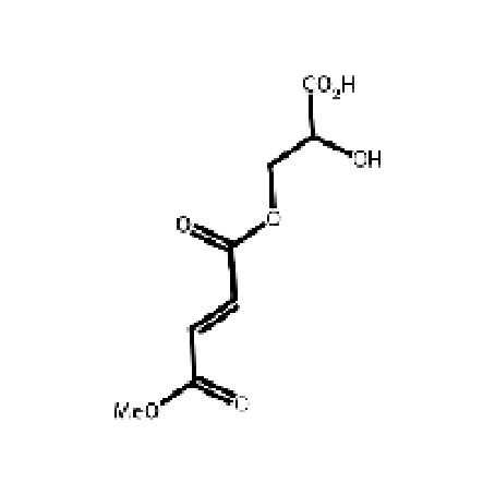 COC(=O)/C=C/C(=O)OCC(O)C(=O)O